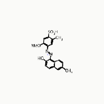 COc1cc(S(=O)(=O)O)c(C)cc1/N=N/c1c(O)ccc2cc(C)ccc12